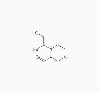 CCC(S)N1CCNCC1C=O